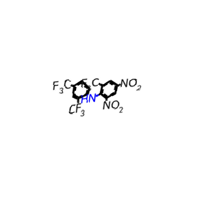 O=[N+]([O-])c1cc([N+](=O)[O-])c(Nc2ccc(C(F)(F)F)cc2C(F)(F)F)c(C(F)(F)F)c1